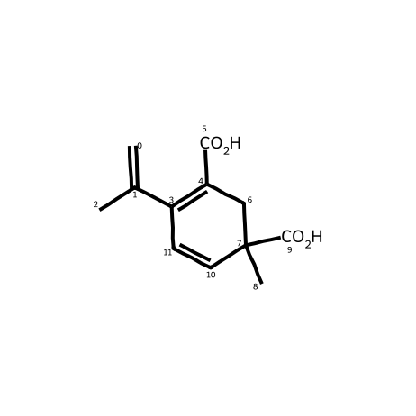 C=C(C)C1=C(C(=O)O)CC(C)(C(=O)O)C=C1